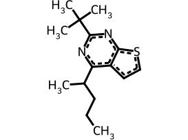 CCCC(C)c1nc(C(C)(C)C)nc2sccc12